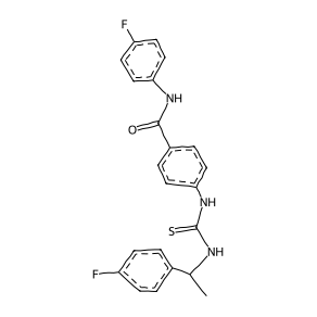 CC(NC(=S)Nc1ccc(C(=O)Nc2ccc(F)cc2)cc1)c1ccc(F)cc1